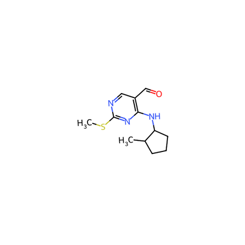 CSc1ncc(C=O)c(NC2CCCC2C)n1